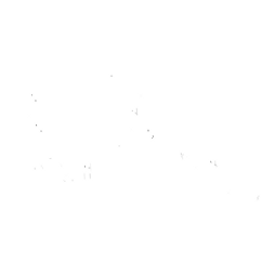 CC1CCNc2cccc(n2)S(=O)(=O)NC(=O)c2ccc(N3CCN(CC(C)(C)C(F)(F)F)C3=O)nc2N2CC1CC2(C)C